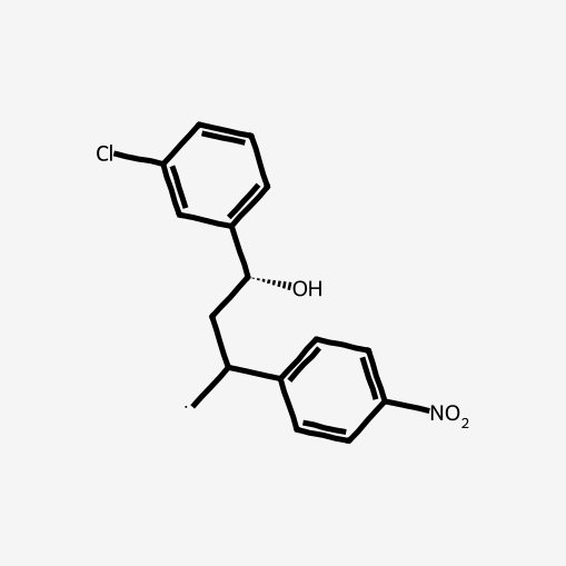 [CH2]C(C[C@@H](O)c1cccc(Cl)c1)c1ccc([N+](=O)[O-])cc1